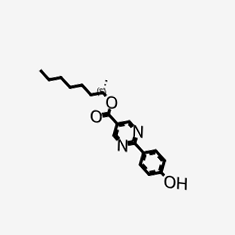 CCCCCC[C@H](C)OC(=O)c1cnc(-c2ccc(O)cc2)nc1